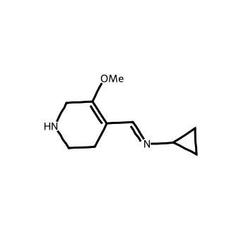 COC1=C(/C=N/C2CC2)CCNC1